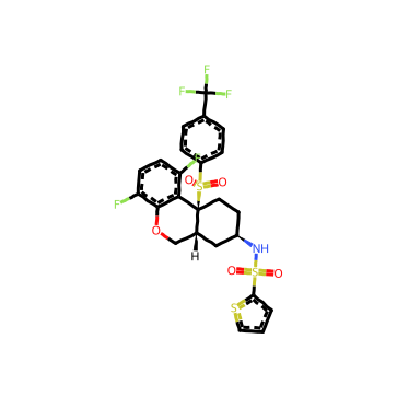 O=S(=O)(N[C@@H]1CC[C@@]2(S(=O)(=O)c3ccc(C(F)(F)F)cc3)c3c(F)ccc(F)c3OC[C@H]2C1)c1cccs1